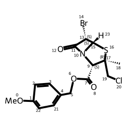 COc1ccc(COC(=O)[C@@H]2N3C(=O)[C@H](Br)[C@@H]3S[C@@]2(C)CCl)cc1